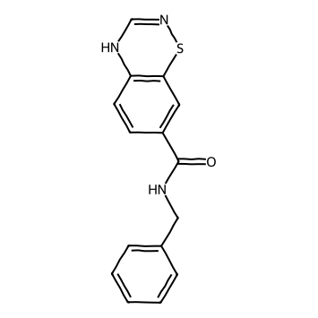 O=C(NCc1ccccc1)c1ccc2c(c1)SN=CN2